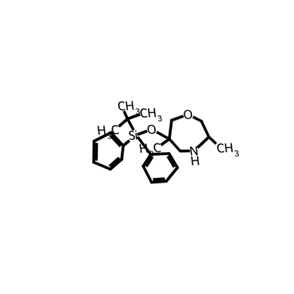 CC1COCC(C)(O[Si](c2ccccc2)(c2ccccc2)C(C)(C)C)CN1